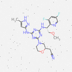 COC[C@H](Nc1nc(Nc2cc(C)[nH]n2)nc(N2CCOC(CC#N)C2)n1)c1ncc(F)cc1F